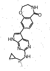 C[C@@H](Nc1ncc2c(-c3ccc4c(c3)OCCNC4=O)c[nH]c2n1)C1CC1